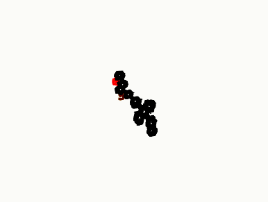 c1ccc2cc(-c3c4ccccc4c(-c4ccc(-c5ccc6c(c5)sc5ccc7c(ccc8c9ccccc9oc87)c56)cc4)c4ccccc34)ccc2c1